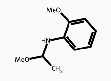 COc1ccccc1NC(C)OC